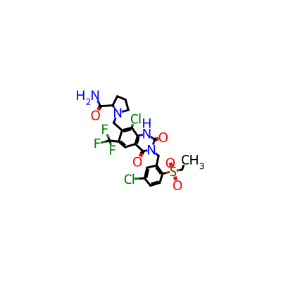 CCS(=O)(=O)c1ccc(Cl)cc1Cn1c(=O)[nH]c2c(Cl)c(CN3CCCC3C(N)=O)c(C(F)(F)F)cc2c1=O